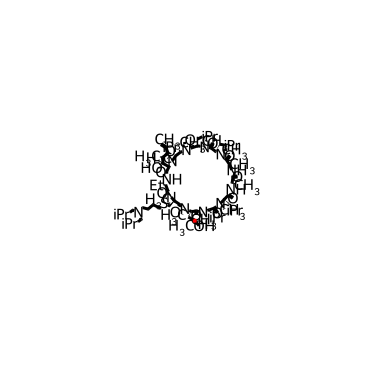 C/C=C/C[C@@H](C)[C@@H](O)[C@H]1C(=O)N[C@@H](CC)C(=O)N(C)[C@H](CSCCCCN(CC(C)C)CC(C)C)C(=O)N(C)[C@@H](CC(C)(C)O)C(=O)N[C@@H](C(C)C)C(=O)N(C)[C@@H](CC(C)C)C(=O)N[C@@H](C)C(=O)N[C@H](C)C(=O)N(C)[C@@H](CC(C)C)C(=O)N(C)[C@@H](CC(C)C)C(=O)N(C)[C@@H](C(C)C)C(=O)N1C